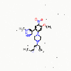 C=C/C(=C\C=C/C)N1CCN(c2cc(OC)c([N+](=O)[O-])cc2/C(C=N)=C/NC)CC1